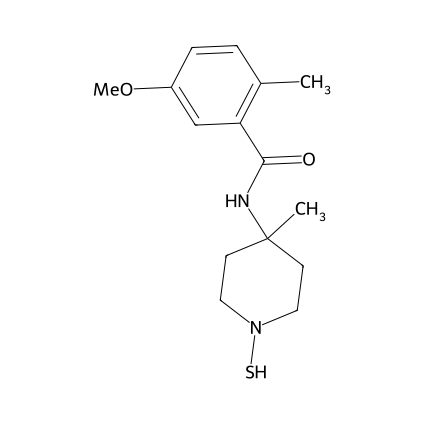 COc1ccc(C)c(C(=O)NC2(C)CCN(S)CC2)c1